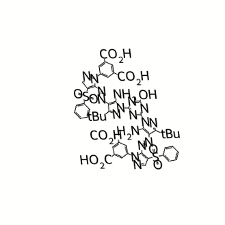 CC(C)(C)c1nn(-c2nc(O)nc(-n3nc(C(C)(C)C)c(N=Nc4c(S(=O)(=O)c5ccccc5)cnn4-c4cc(C(=O)O)cc(C(=O)O)c4)c3N)n2)c(N)c1N=Nc1c(S(=O)(=O)c2ccccc2)cnn1-c1cc(C(=O)O)cc(C(=O)O)c1